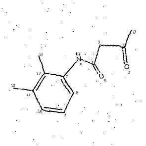 CC(=O)CC(=O)Nc1cccc(C)c1C